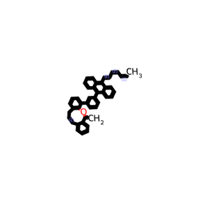 C=C1Oc2c(cccc2-c2cccc(-c3c4ccccc4c(/C=C/C=C\C=C/C)c4ccccc34)c2)C/C=C\c2ccccc21